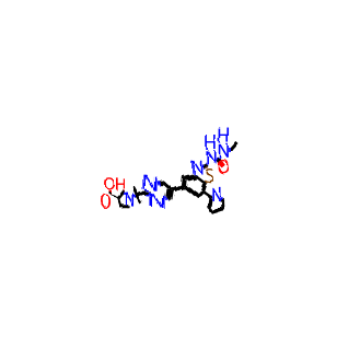 CCNC(=O)Nc1nc2cc(-c3cnc(C(C)(C)N4CC[C@@H](C(=O)O)C4)nc3)cc(-c3ccccn3)c2s1